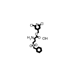 Cl.N[C@@H](CCS(=O)(=O)Cc1ccccc1)C(=O)OCc1cc(Cl)nc(Cl)c1